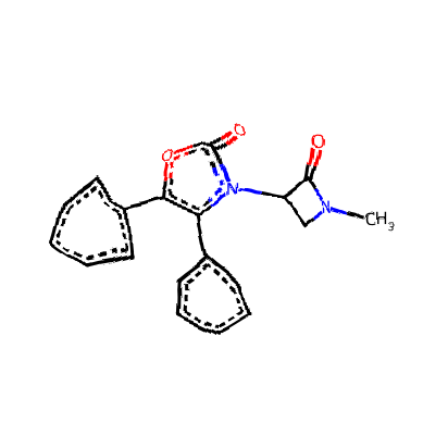 CN1CC(n2c(-c3ccccc3)c(-c3ccccc3)oc2=O)C1=O